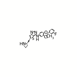 C[C@H](Oc1ccc(Nc2ncnc3cc(C#CC4CCCN4)sc23)cc1Cl)c1cccc(F)c1